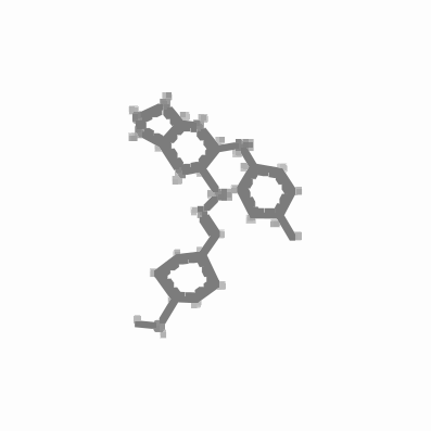 COc1ccc(/C=N/Nc2nc3nonc3nc2Nc2ccc(C)cc2)cc1